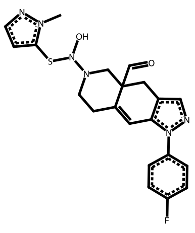 Cn1nccc1SN(O)N1CCC2=Cc3c(cnn3-c3ccc(F)cc3)CC2(C=O)C1